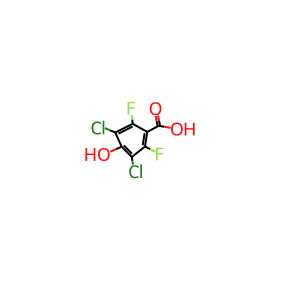 O=C(O)c1c(F)c(Cl)c(O)c(Cl)c1F